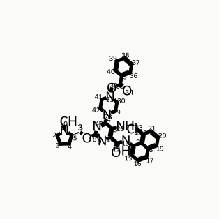 CN1CCC[C@H]1COc1nc(C(=O)Nc2cccc3cccc(Cl)c23)c(N)c(N2CCN(OC(=O)c3ccccc3)CC2)n1